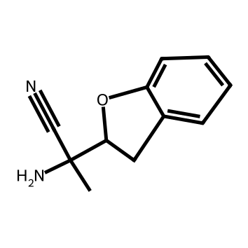 CC(N)(C#N)C1Cc2ccccc2O1